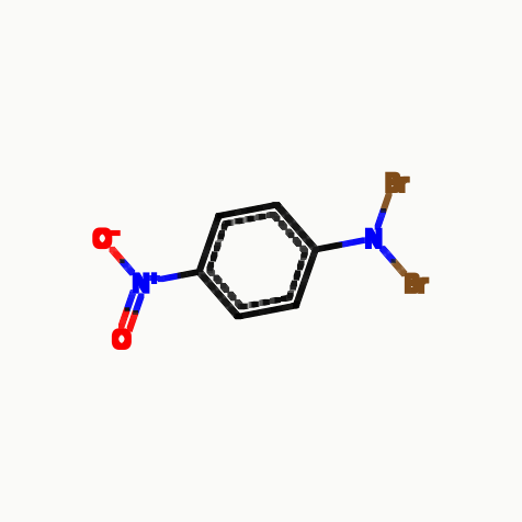 O=[N+]([O-])c1ccc(N(Br)Br)cc1